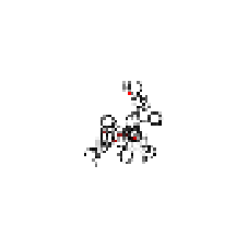 O=C(O[C@@H]1CN2CCC1C(c1cnc3c(c1)[C@H](c1ccccc1)N(C(=O)O[C@@H]1CN4CCC1C(c1cc(F)c5c(c1)[C@H](c1ccccc1)N(C(=O)O[C@@H]1CN6CCC1CC6)CC5)C4)CC3)C2)N1CCc2cnccc2[C@@H]1c1ccccc1